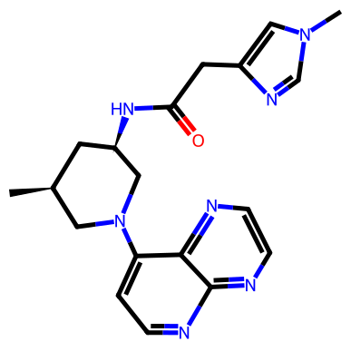 C[C@H]1C[C@@H](NC(=O)Cc2cn(C)cn2)CN(c2ccnc3nccnc23)C1